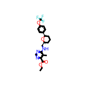 CCOC(=O)c1ncnc(NC[C@@H]2CCC[C@H](c3ccc(OC(F)(F)F)cc3)O2)c1C